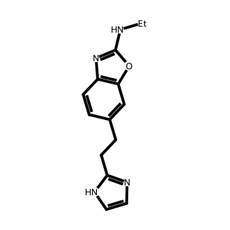 CCNc1nc2ccc(CCc3ncc[nH]3)cc2o1